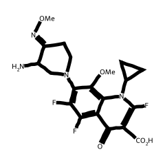 CON=C1CCN(c2c(F)c(F)c3c(=O)c(C(=O)O)c(F)n(C4CC4)c3c2OC)CC1N